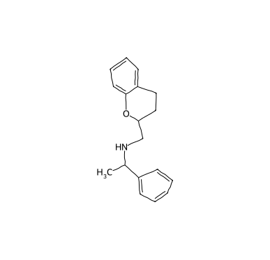 CC(NCC1CCc2ccccc2O1)c1ccccc1